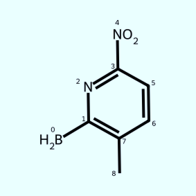 Bc1nc([N+](=O)[O-])ccc1C